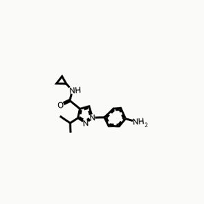 CC(C)c1nn(-c2ccc(N)cc2)cc1C(=O)NC1CC1